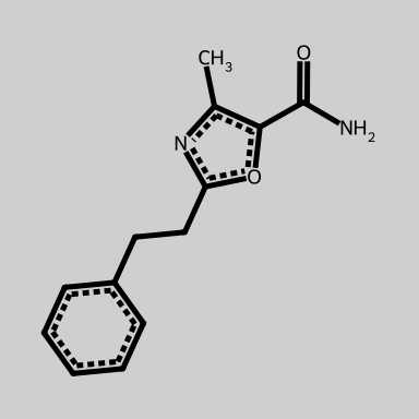 Cc1nc(CCc2ccccc2)oc1C(N)=O